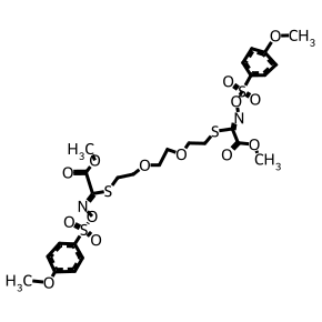 COC(=O)/C(=N/OS(=O)(=O)c1ccc(OC)cc1)SCCOCCOCCS/C(=N\OS(=O)(=O)c1ccc(OC)cc1)C(=O)OC